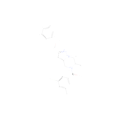 Cc1cc(F)cc(C(=O)N2Cc3cc(COc4ccccc4)nn3CC2C)c1